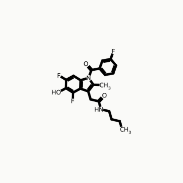 CCCCNC(=O)Cc1c(C)n(C(=O)c2cccc(F)c2)c2cc(F)c(O)c(F)c12